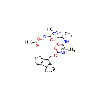 CC(=O)OCNC(=O)[C@H](C)NC(=O)[C@H](C)NC(=O)[C@H](C)NC(=O)OCC1c2ccccc2-c2ccccc21